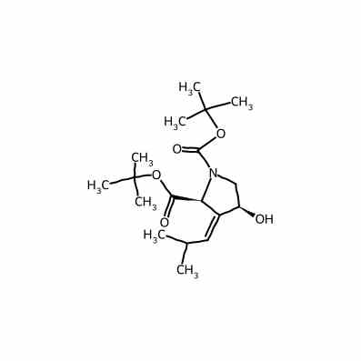 CC(C)/C=C1/[C@H](O)CN(C(=O)OC(C)(C)C)[C@@H]1C(=O)OC(C)(C)C